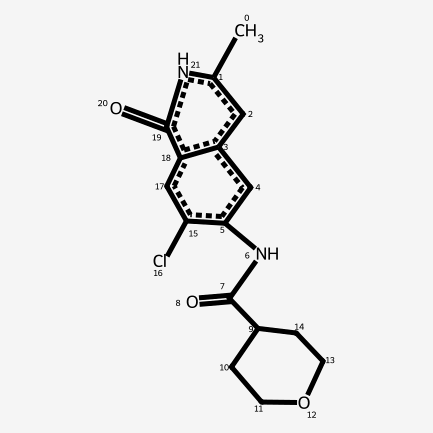 Cc1cc2cc(NC(=O)C3CCOCC3)c(Cl)cc2c(=O)[nH]1